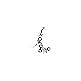 CCCCNC(=O)Nc1ccc2c(c1)nc(CCCC)n2Cc1ccc(-c2ccccc2C(=O)NS(=O)(=O)c2ccccc2)cc1